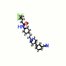 N#Cc1cccc(C2=CCN(CC[C@H]3CC[C@H](NC(=O)CCC(F)(F)F)CC3)CC2)c1